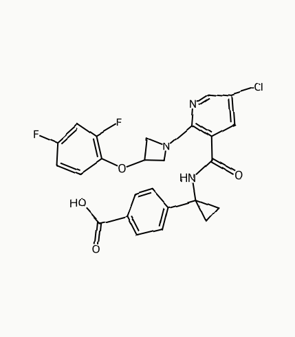 O=C(O)c1ccc(C2(NC(=O)c3cc(Cl)cnc3N3CC(Oc4ccc(F)cc4F)C3)CC2)cc1